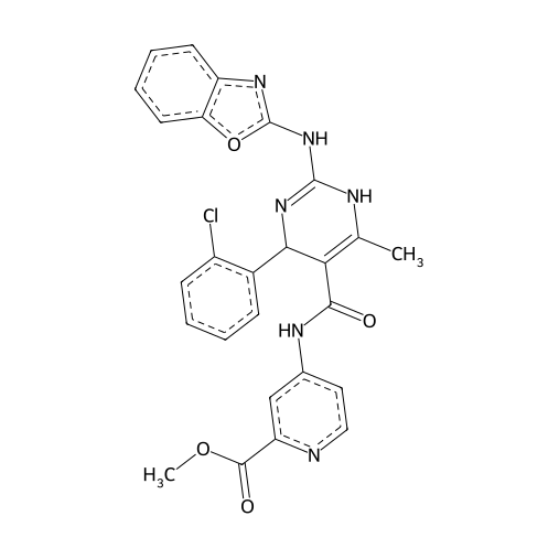 COC(=O)c1cc(NC(=O)C2=C(C)NC(Nc3nc4ccccc4o3)=NC2c2ccccc2Cl)ccn1